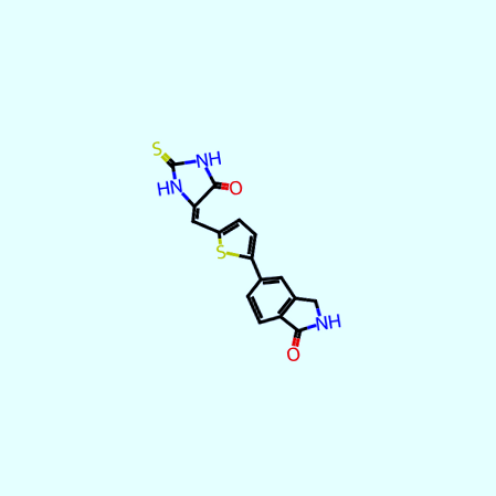 O=C1NC(=S)NC1=Cc1ccc(-c2ccc3c(c2)CNC3=O)s1